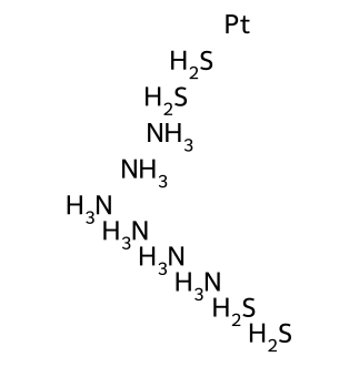 N.N.N.N.N.N.S.S.S.S.[Pt]